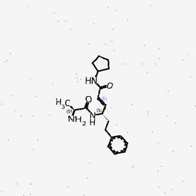 C[C@H](N)C(=O)N[C@H](/C=C/C(=O)NC1CCCC1)CCc1ccccc1